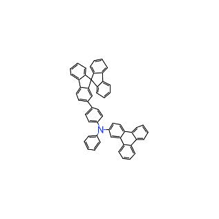 c1ccc(N(c2ccc(-c3ccc4c(c3)C3(c5ccccc5-c5ccccc53)c3ccccc3-4)cc2)c2ccc3c4ccccc4c4ccccc4c3c2)cc1